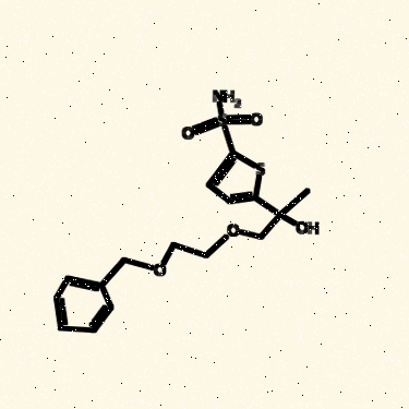 CC(O)(COCCOCc1ccccc1)c1ccc(S(N)(=O)=O)s1